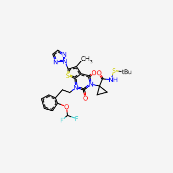 Cc1c(-n2nccn2)sc2c1c(=O)n(C1(C(=O)NSC(C)(C)C)CC1)c(=O)n2CCc1ccccc1OC(F)F